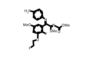 COC(=O)/N=C(SC)/C(=N/c1ccc(N)cc1)c1cc(OC)cc(OCCF)c1F